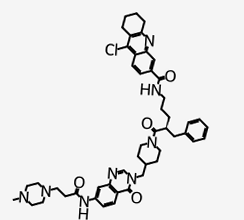 CN1CCN(CCC(=O)Nc2ccc3c(=O)n(CC4CCN(C(=O)[C@@H](CCCNC(=O)c5ccc6c(Cl)c7c(nc6c5)CCCC7)Cc5ccccc5)CC4)cnc3c2)CC1